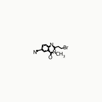 Cn1c(CCBr)nc2ccc(C#N)cc2c1=O